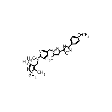 Cc1nn(C)c(C)c1CN(C)c1ccc(Cn2nc(-c3nc(-c4ccc(OC(F)(F)F)cc4)no3)cc2C)cn1